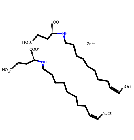 CCCCCCCC/C=C\CCCCCCCCN[C@@H](CCC(=O)O)C(=O)[O-].CCCCCCCC/C=C\CCCCCCCCN[C@@H](CCC(=O)O)C(=O)[O-].[Zn+2]